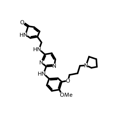 COc1ccc(Nc2nccc(NCc3ccc(=O)[nH]c3)n2)cc1OCCCN1CCCC1